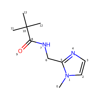 Cn1ccnc1CNC(=O)C(C)(C)C